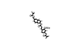 C=C(C)C(=O)Cc1ccc(/C=C/C(=O)Oc2ccc3cc(COC(=O)C(=C)C)ccc3c2)c(OC)c1